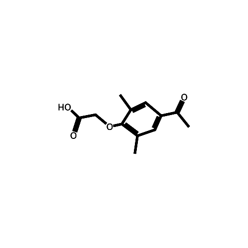 CC(=O)c1cc(C)c(OCC(=O)O)c(C)c1